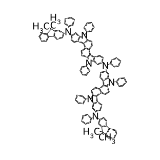 CC1(C)c2ccccc2-c2ccc(N(c3ccccc3)c3ccc4c5c6ccc7c(c6ccc5n(-c5ccccc5)c4c3)c3ccc(N(c4ccccc4)c4ccc5c6c8ccc9c(c8ccc6n(-c6ccccc6)c5c4)c4ccc(N(c5ccccc5)c5ccc6c(c5)C(C)(C)c5ccccc5-6)cc4n9-c4ccccc4)cc3n7-c3ccccc3)cc21